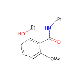 CCO.COc1ccccc1C(=O)NC(C)C